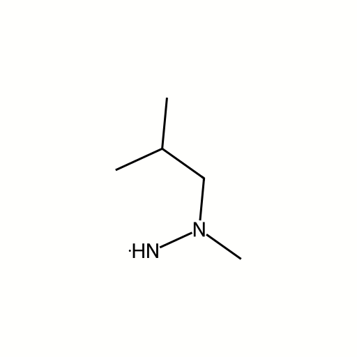 CC(C)CN(C)[NH]